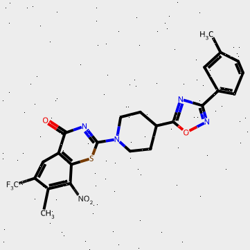 Cc1cccc(-c2noc(C3CCN(c4nc(=O)c5cc(C(F)(F)F)c(C)c([N+](=O)[O-])c5s4)CC3)n2)c1